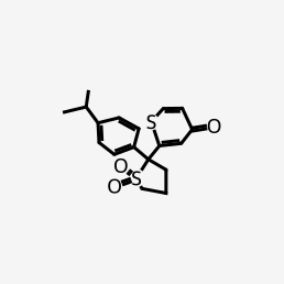 CC(C)c1ccc(C2(c3cc(=O)ccs3)CCCS2(=O)=O)cc1